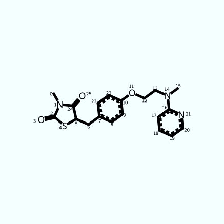 CN1C(=O)SC(Cc2ccc(OCCN(C)c3ccccn3)cc2)C1=O